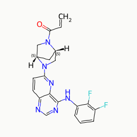 C=CC(=O)N1C[C@@H]2C[C@H]1CN2c1ccc2ncnc(Nc3cccc(F)c3F)c2n1